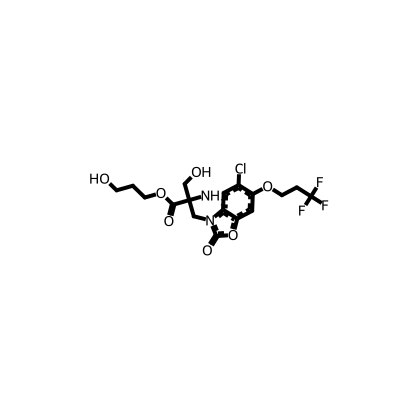 NC(CO)(Cn1c(=O)oc2cc(OCCC(F)(F)F)c(Cl)cc21)C(=O)OCCCO